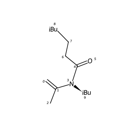 C=C(C)N(C(=O)CCC(C)CC)[C@H](C)CC